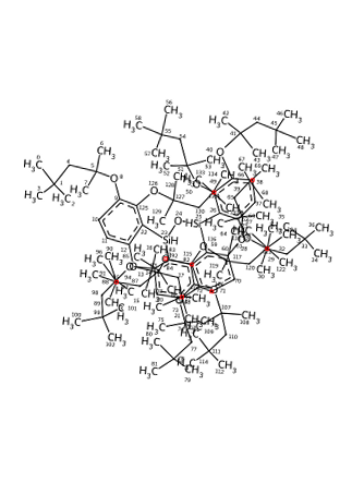 CC(C)(C)CC(C)(C)Oc1ccc(OC(C)(C)CC(C)(C)C)c([SiH](O[SiH](c2c(OC(C)(C)CC(C)(C)C)ccc(OC(C)(C)CC(C)(C)C)c2OC(C)(C)CC(C)(C)C)c2c(OC(C)(C)CC(C)(C)C)ccc(OC(C)(C)CC(C)(C)C)c2OC(C)(C)CC(C)(C)C)c2c(OC(C)(C)CC(C)(C)C)ccc(OC(C)(C)CC(C)(C)C)c2OC(C)(C)CC(C)(C)C)c1OC(C)(C)CC(C)(C)C